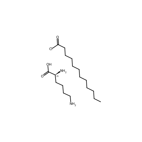 CCCCCCCCCCCC(=O)Cl.NCCCC[C@H](N)C(=O)O